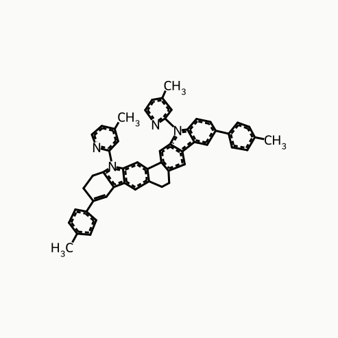 Cc1ccc(C2=Cc3c(n(-c4cc(C)ccn4)c4cc5c(cc34)CCc3cc4c6cc(-c7ccc(C)cc7)ccc6n(-c6cc(C)ccn6)c4cc3-5)CC2)cc1